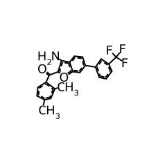 Cc1ccc(C(=O)c2oc3cc(-c4cccc(C(F)(F)F)c4)ccc3c2N)c(C)c1